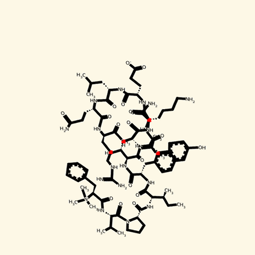 CC[C@H](C)[C@H](NC(=O)[C@@H]1CCCN1C(=O)[C@@H](NC(=O)[C@H](Cc1ccccc1)[N+](C)(C)C)C(C)C)C(=O)N[C@@H](Cc1ccccc1)C(=O)N[C@H](C(=O)N[C@@H](Cc1ccc(O)cc1)C(=O)NCC(=O)N[C@@H](CCC(=O)[O-])C(=O)N[C@@H](CC(C)C)C(=O)N[C@@H](CCC(N)=O)C(=O)N[C@H](CCCNC(=N)N)C(=O)N[C@@H](CC(C)C)C(=O)N[C@@H](CCCCN)C(N)=O)[C@@H](C)O